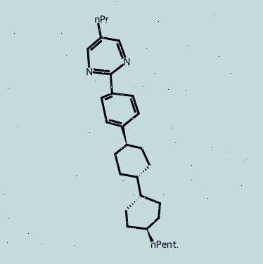 CCCCC[C@H]1CC[C@H]([C@H]2CC[C@H](c3ccc(-c4ncc(CCC)cn4)cc3)CC2)CC1